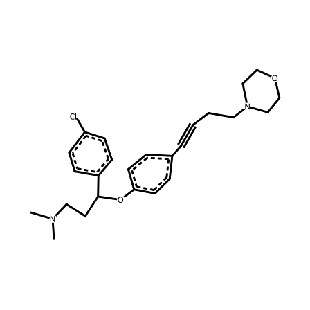 CN(C)CCC(Oc1ccc(C#CCCN2CCOCC2)cc1)c1ccc(Cl)cc1